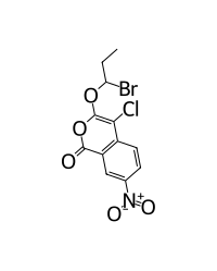 CCC(Br)Oc1oc(=O)c2cc([N+](=O)[O-])ccc2c1Cl